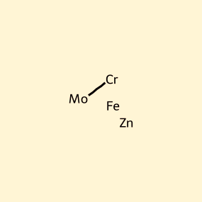 [Cr][Mo].[Fe].[Zn]